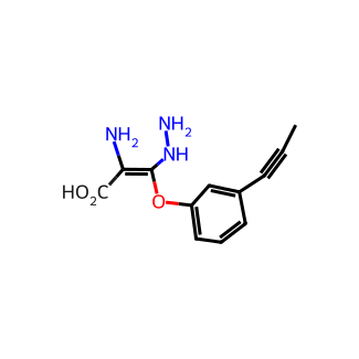 CC#Cc1cccc(O/C(NN)=C(/N)C(=O)O)c1